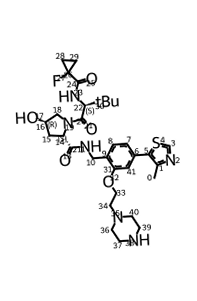 Cc1ncsc1-c1ccc(CNC(=O)[C@@H]2C[C@@H](O)CN2C(=O)[C@@H](NC(=O)C2(F)CC2)C(C)(C)C)c(OCCN2CCNCC2)c1